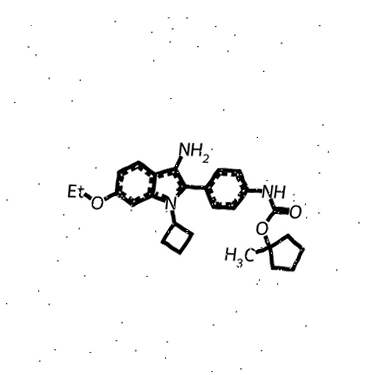 CCOc1ccc2c(N)c(-c3ccc(NC(=O)OC4(C)CCCC4)cc3)n(C3CCC3)c2c1